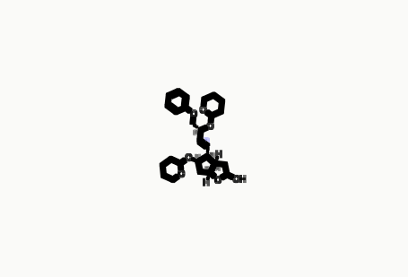 OC1C[C@@H]2[C@@H](/C=C/[C@H](COc3ccccc3)OC3CCCCO3)[C@H](OC3CCCCO3)C[C@@H]2O1